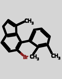 CC1=CCc2ccc(Br)c(-c3cccc(C)c3C)c21